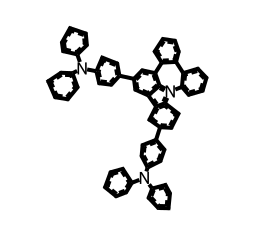 c1ccc(N(c2ccccc2)c2ccc(-c3ccc4c(c3)c3cc(-c5ccc(N(c6ccccc6)c6ccccc6)cc5)cc5c3n4-c3ccccc3-c3ccccc3-5)cc2)cc1